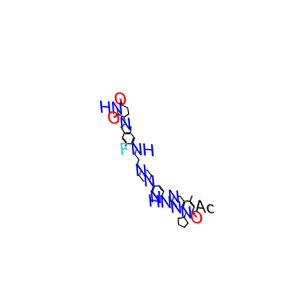 CC(=O)c1c(C)c2cnc(Nc3ccc(N4CCN(CCCNc5cc6c(cc5F)CN(C5CCC(=O)NC5=O)C6)CC4)cn3)nc2n(C2CCCC2)c1=O